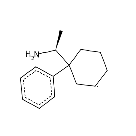 C[C@H](N)C1(c2ccccc2)C[CH]CCC1